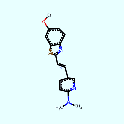 CCOc1ccc2nc(/C=C/c3ccc(N(C)C)nc3)sc2c1